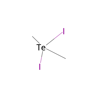 C[Te](C)(I)I